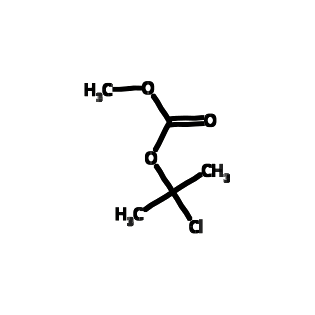 COC(=O)OC(C)(C)Cl